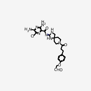 Nc1nc(N)c(C(=O)/N=C2\NCC3(CCN(C(=O)CCc4ccc(OCC=O)cc4)CC3)N2)nc1Cl